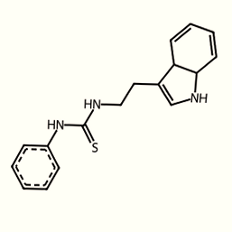 S=C(NCCC1=CNC2C=CC=CC12)Nc1ccccc1